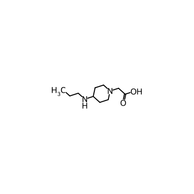 CCCNC1CCN(CC(=O)O)CC1